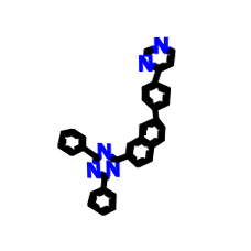 c1ccc(-c2nc(-c3ccccc3)nc(-c3ccc4ccc(-c5ccc(-c6ccncn6)cc5)cc4c3)n2)cc1